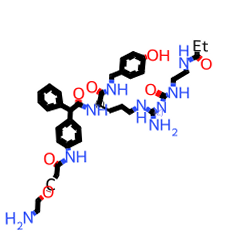 CCC(=O)NCCNC(=O)/N=C(/N)NCCC[C@@H](NC(=O)C(c1ccccc1)c1ccc(NC(=O)CCOCCN)cc1)C(=O)NCc1ccc(O)cc1